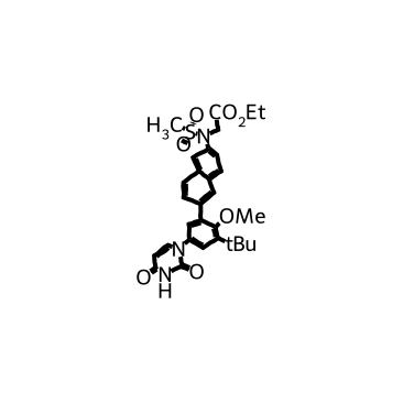 CCOC(=O)CN(c1ccc2cc(-c3cc(-n4ccc(=O)[nH]c4=O)cc(C(C)(C)C)c3OC)ccc2c1)S(C)(=O)=O